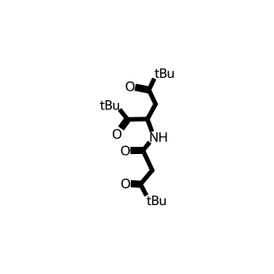 CC(C)(C)C(=O)CC(=O)NC(CC(=O)C(C)(C)C)C(=O)C(C)(C)C